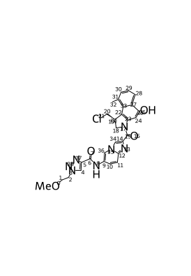 COCCn1cc(C(=O)Nc2ccc3nc(C(=O)N4C[C@@H](CCl)c5c4cc(O)c4cccc(C)c54)cn3c2)nn1